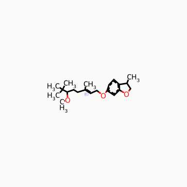 COC(CC/C(C)=C/COc1ccc2c(c1)OCC2C)C(C)(C)C